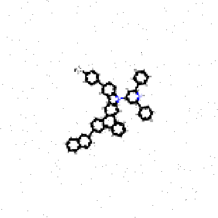 FC(F)(F)c1ccc(-c2ccc3c(c2)c2cc4c5ccc(-c6ccc7ccccc7c6)cc5c5ccccc5c4cc2n3-c2cc(-c3ccccc3)nc(-c3ccccc3)c2)cc1